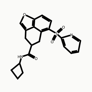 O=C(NC1CCC1)C1Cc2coc3ccc(S(=O)(=O)c4ccccn4)c(c23)C1